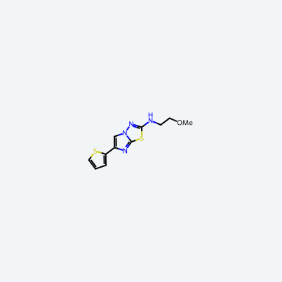 COCCNc1nn2cc(-c3cccs3)nc2s1